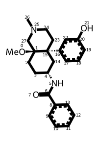 CO[C@]12CC[C@@H](NC(=O)c3ccccc3)C[C@]1(c1cccc(O)c1)CCN(C)C2